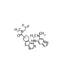 CN(CC(F)F)C(=O)[C@H]1CCc2c(sc3ncnc(Nc4cc5ccnn5cc4N(C)C)c23)C1